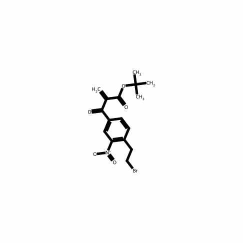 C=C(C(=O)OC(C)(C)C)C(=O)c1ccc(CCBr)c([N+](=O)[O-])c1